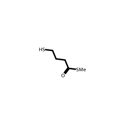 CSC(=O)CCCS